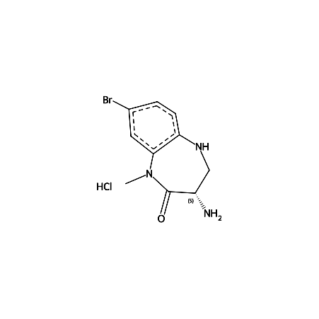 CN1C(=O)[C@@H](N)CNc2ccc(Br)cc21.Cl